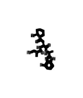 CC[C@H]1CCCCN1C(=O)C[C@H](NC(=O)N(C)CC(C)C)C(=O)N[C@@H](C)c1nc2c(F)cccc2[nH]1